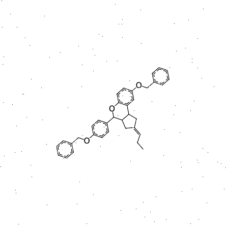 CC/C=C1/CC2c3cc(OCc4ccccc4)ccc3OC(c3ccc(OCc4ccccc4)cc3)C2C1